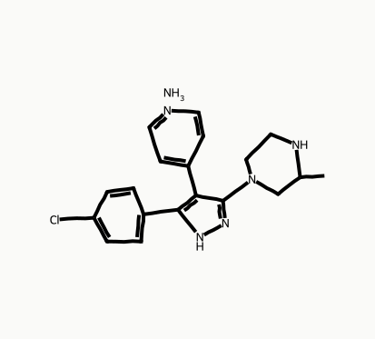 CC1CN(c2n[nH]c(-c3ccc(Cl)cc3)c2-c2ccncc2)CCN1.N